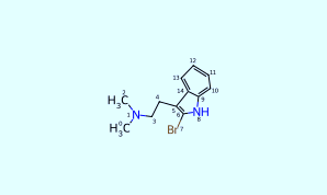 CN(C)CCc1c(Br)[nH]c2ccccc12